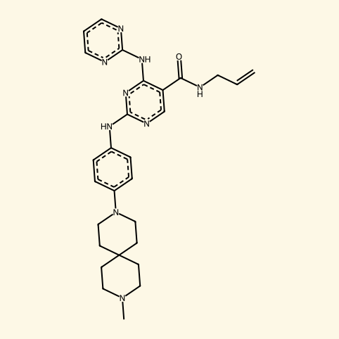 C=CCNC(=O)c1cnc(Nc2ccc(N3CCC4(CCN(C)CC4)CC3)cc2)nc1Nc1ncccn1